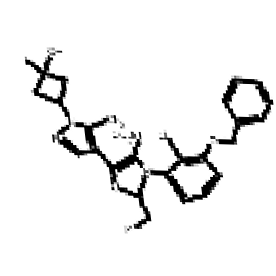 CCOC(=O)C1=C(c2cnn(C3CC(C)(O)C3)c2C(F)(F)F)OC(CC(C)C)N1c1cccc(OCc2ccccc2)c1Cl